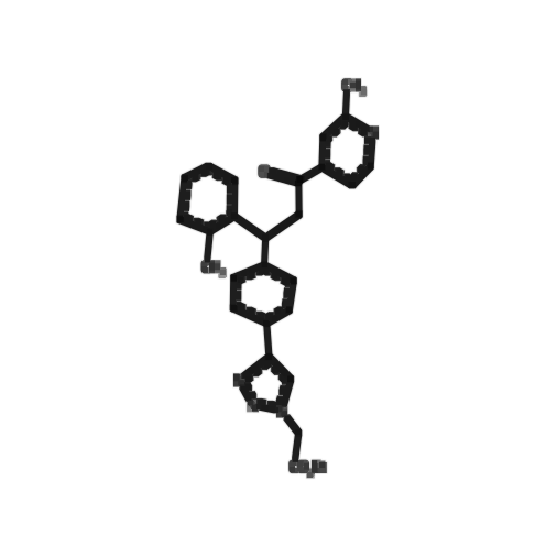 CCOC(=O)Cn1cc(-c2ccc(C(CC(=O)c3ccnc(C)c3)c3ccccc3C)cc2)nn1